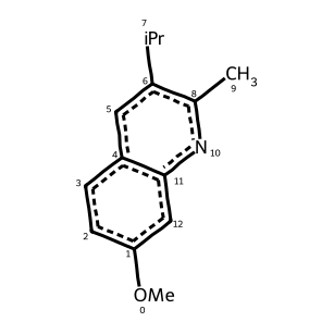 COc1ccc2cc(C(C)C)c(C)nc2c1